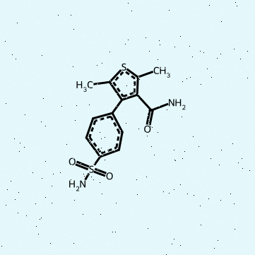 Cc1sc(C)c(-c2ccc(S(N)(=O)=O)cc2)c1C(N)=O